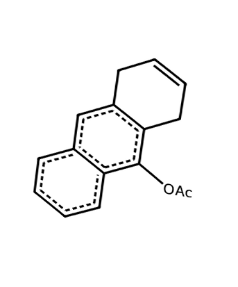 CC(=O)Oc1c2c(cc3ccccc13)CC=CC2